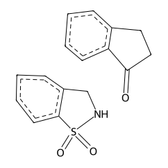 O=C1CCc2ccccc21.O=S1(=O)NCc2ccccc21